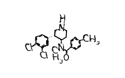 Cc1ccc(C(=O)N(C)[C@@H]2CCNC[C@H]2c2ccc(Cl)c(Cl)c2)cc1